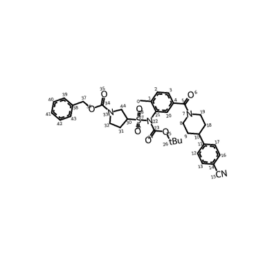 Cc1ccc(C(=O)N2CCC(c3ccc(C#N)cc3)CC2)cc1N(C(=O)OC(C)(C)C)S(=O)(=O)C1CCN(C(=O)OCc2ccccc2)C1